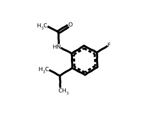 CC(=O)Nc1cc(F)ccc1C(C)C